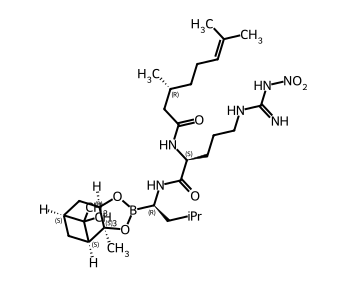 CC(C)=CCC[C@@H](C)CC(=O)N[C@@H](CCCNC(=N)N[N+](=O)[O-])C(=O)N[C@@H](CC(C)C)B1O[C@@H]2C[C@@H]3C[C@@H](C3(C)C)[C@]2(C)O1